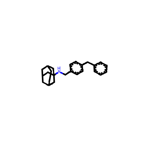 c1ccc(Cc2ccc(CNC34CC5CC(CC(C5)C3)C4)cc2)cc1